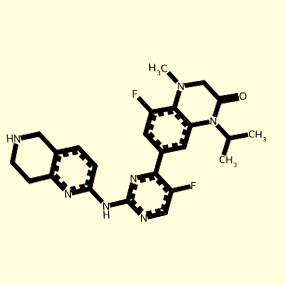 CC(C)N1C(=O)CN(C)c2c(F)cc(-c3nc(Nc4ccc5c(n4)CCNC5)ncc3F)cc21